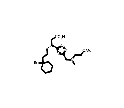 COCCN(C)Cc1noc([C@H](CCCC2(C(C)(C)C)CCCCC2)CC(=O)O)n1